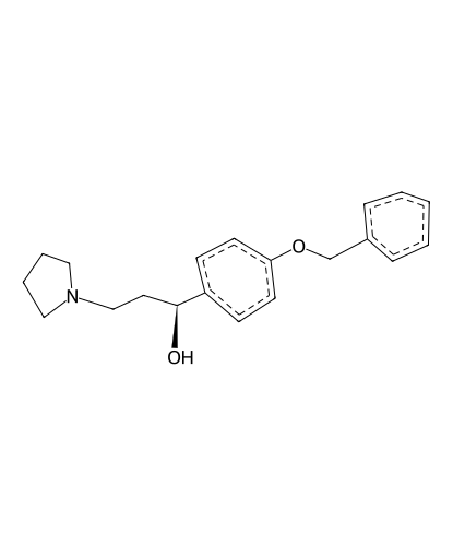 O[C@@H](CCN1CCCC1)c1ccc(OCc2ccccc2)cc1